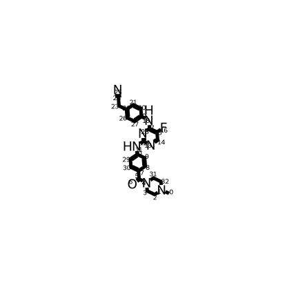 CN1CCN(C(=O)c2ccc(Nc3ncc(F)c(Nc4ccc(CC#N)cc4)n3)cc2)CC1